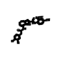 N#Cc1ccc(NC(=O)c2cc3cccc(NC(=O)Cc4ccc(Cl)c(Cl)c4)c3[nH]2)c(C(=O)O)c1